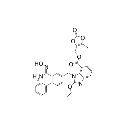 CCOc1nc2cccc(C(=O)OCc3oc(=O)oc3C)c2n1Cc1ccc(-c2ccccc2)c(C(N)=NO)c1